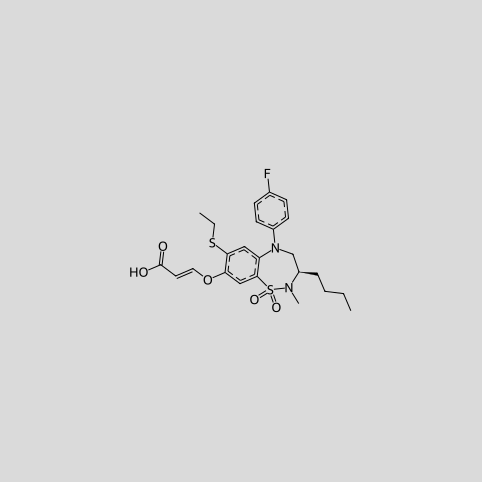 CCCC[C@@H]1CN(c2ccc(F)cc2)c2cc(SCC)c(O/C=C/C(=O)O)cc2S(=O)(=O)N1C